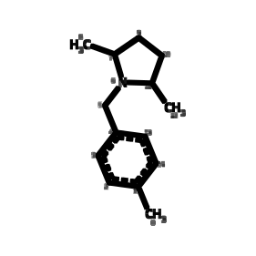 Cc1ccc(CN2C(C)CCC2C)cc1